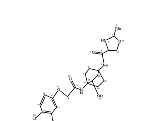 CC(C)(C)C1NC(C(=O)NC23CCC(NC(=O)COc4ccc(Cl)c(F)c4)(CC2)C(O)C3)CO1